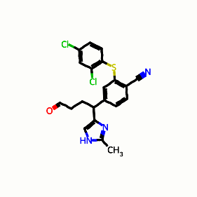 Cc1nc(C(CCC=O)c2ccc(C#N)c(Sc3ccc(Cl)cc3Cl)c2)c[nH]1